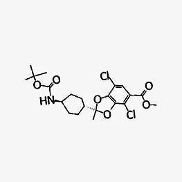 COC(=O)c1cc(Cl)c2c(c1Cl)OC(C)([C@H]1CC[C@H](NC(=O)OC(C)(C)C)CC1)O2